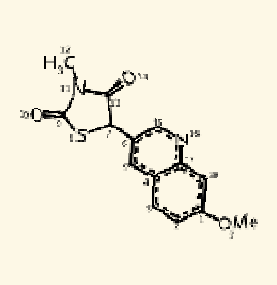 COc1ccc2cc(C3SC(=O)N(C)C3=O)cnc2c1